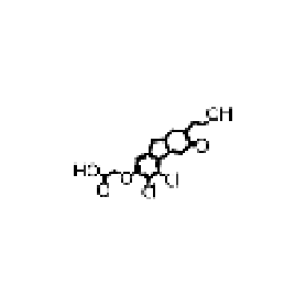 O=C(O)COc1cc2c(c(Cl)c1Cl)C1=CC(=O)C(CCO)CC1C2